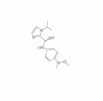 CON(C)c1ccc(NC(=N)c2nccn2C(C)C)cc1